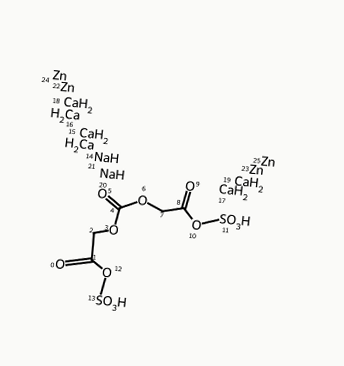 O=C(COC(=O)OCC(=O)OS(=O)(=O)O)OS(=O)(=O)O.[CaH2].[CaH2].[CaH2].[CaH2].[CaH2].[CaH2].[NaH].[NaH].[Zn].[Zn].[Zn].[Zn]